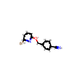 N#Cc1ccc(COc2cccc(Br)n2)cc1